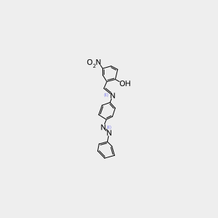 O=[N+]([O-])c1ccc(O)c(/C=N/c2ccc(/N=N/c3ccccc3)cc2)c1